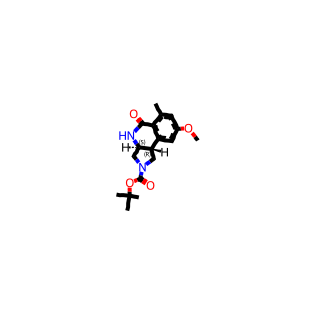 COc1cc(C)c2c(c1)[C@@H]1CN(C(=O)OC(C)(C)C)C[C@H]1NC2=O